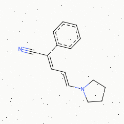 N#C/C(=C/C=C/N1CCCC1)c1ccccc1